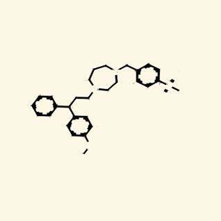 COc1ccc(C(CCN2CCCN(Cc3ccc(S(C)(=O)=O)cc3)CC2)c2ccccc2)cc1